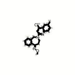 CON=C1CCN(c2cc(Cl)c3cc(C)ccc3n2)Cc2ccccc21